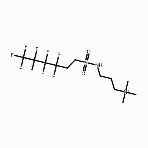 C[N+](C)(C)CCCNS(=O)(=O)CCC(F)(F)C(F)(F)C(F)(F)C(F)(F)F